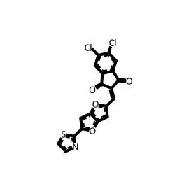 O=C1C(=Cc2cc3oc(-c4nccs4)cc3o2)C(=O)c2cc(Cl)c(Cl)cc21